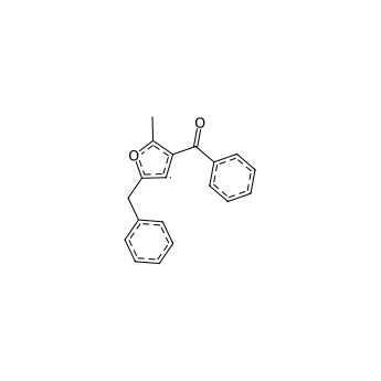 Cc1oc(Cc2ccccc2)[c]c1C(=O)c1ccccc1